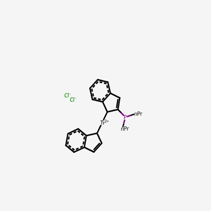 CCCP(CCC)C1=Cc2ccccc2[CH]1[Ti+2][CH]1C=Cc2ccccc21.[Cl-].[Cl-]